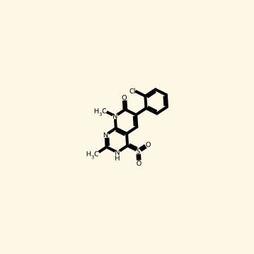 Cc1nc2c(cc(-c3ccccc3Cl)c(=O)n2C)c(=S(=O)=O)[nH]1